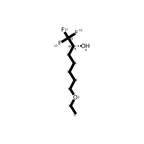 CCOCCCCC[C@@H](O)C(F)(F)F